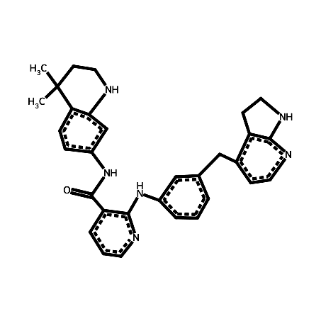 CC1(C)CCNc2cc(NC(=O)c3cccnc3Nc3cccc(Cc4ccnc5c4CCN5)c3)ccc21